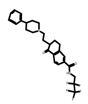 O=C(NCC(F)(F)C(F)(F)F)c1ccc2c(c1)CCC(CCN1CCC(c3ccccc3)CC1)C2=O